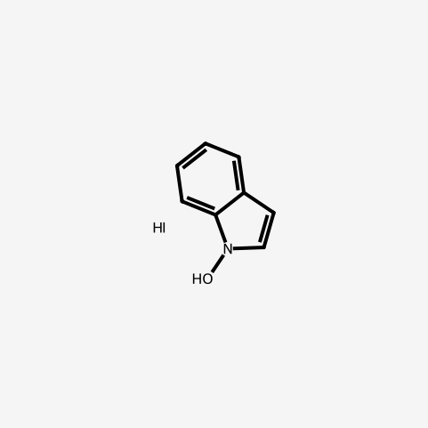 I.On1ccc2ccccc21